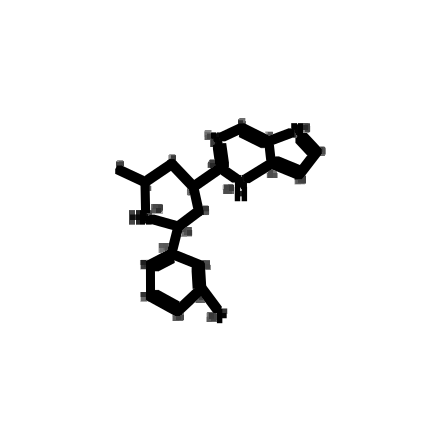 CC1CC(c2ncc3nccc-3[nH]2)CC(c2cccc(F)c2)N1